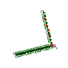 CO.ClCCl.ClCCl.ClCCl.ClCCl.ClCCl.ClCCl.ClCCl.ClCCl.ClCCl.ClCCl.ClCCl.ClCCl.ClCCl.ClCCl.ClCCl.ClCCl.ClCCl.ClCCl.ClCCl.ClCCl.ClCCl.ClCCl.ClCCl.ClCCl.ClCCl.ClCCl.ClCCl.ClCCl.ClCCl.ClCCl.ClCCl.ClCCl